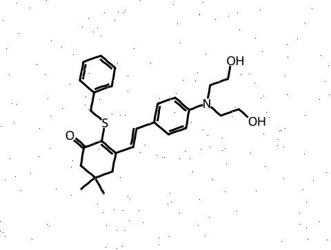 CC1(C)CC(=O)C(SCc2ccccc2)=C(/C=C/c2ccc(N(CCO)CCO)cc2)C1